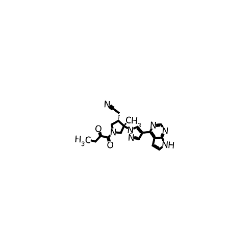 CCC(=O)C(=O)N1C[C@H](CC#N)[C@](C)(n2cc(-c3ncnc4[nH]ccc34)cn2)C1